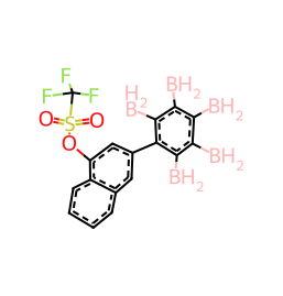 Bc1c(B)c(B)c(-c2cc(OS(=O)(=O)C(F)(F)F)c3ccccc3c2)c(B)c1B